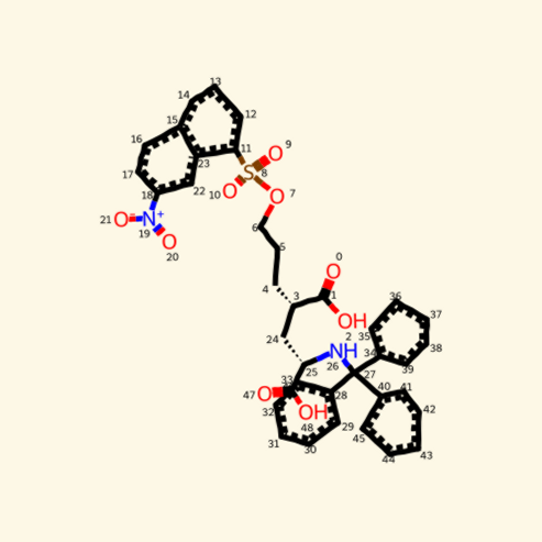 O=C(O)[C@@H](CCCOS(=O)(=O)c1cccc2ccc([N+](=O)[O-])cc12)C[C@H](NC(c1ccccc1)(c1ccccc1)c1ccccc1)C(=O)O